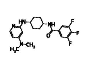 CN(C)c1ccnc(N[C@H]2CC[C@@H](NC(=O)c3cc(F)c(F)c(F)c3)CC2)c1